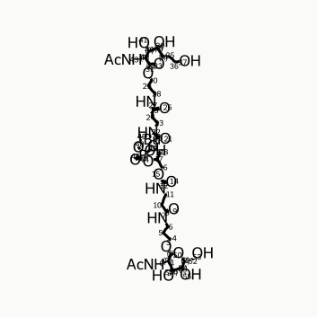 CC(=O)N[C@H]1[C@H](OCCCNC(=O)CCNC(=O)OCC(COC(=O)NCCC(=O)NCCCO[C@@H]2O[C@H](CCO)[C@H](O)[C@H](O)[C@H]2NC(C)=O)OP(=O)(O)OC(C)(C)C)O[C@H](CO)[C@H](O)[C@@H]1O